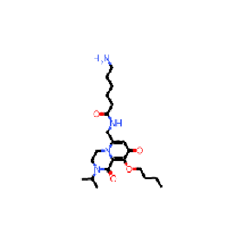 CCCCOc1c2n(c(CNC(=O)CCCCCN)cc1=O)CCN(C(C)C)C2=O